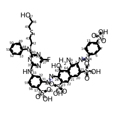 Nc1c(/N=N/c2ccc(S(=O)(=O)O)cc2)c(S(=O)(=O)O)cc2cc(S(=O)(=O)O)c(/N=N/c3cc(Nc4nc(F)nc(N(CCSCCO)c5ccccc5)n4)ccc3S(=O)(=O)O)c(O)c12